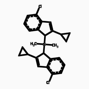 C[Si](C)(C1C(C2CC2)=Cc2c(Cl)cccc21)C1C(C2CC2)=Cc2c(Cl)cccc21